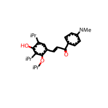 CNc1ccc(C(=O)C=Cc2cc(C(C)C)c(O)c(C(C)C)c2OC(C)C)cc1